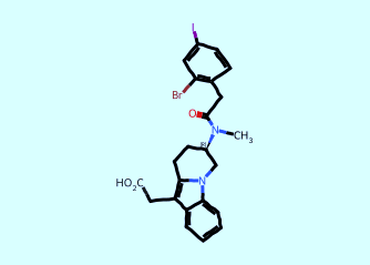 CN(C(=O)Cc1ccc(I)cc1Br)[C@@H]1CCc2c(CC(=O)O)c3ccccc3n2C1